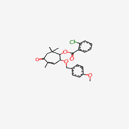 COc1ccc(COC2C=C(C)C(=O)CC(C)(C)C2OC(=O)c2ccccc2Cl)cc1